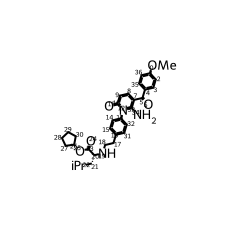 COc1ccc(C(=O)c2ccc(=O)n(-c3ccc(CCN[C@H](CC(C)C)C(=O)OC4CCCC4)cc3)c2N)cc1